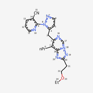 CCCc1c(Cc2ccnn2-c2ncccc2C#N)ncn2nc(CCOCC)nc12